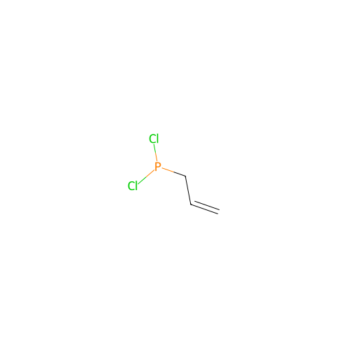 C=CCP(Cl)Cl